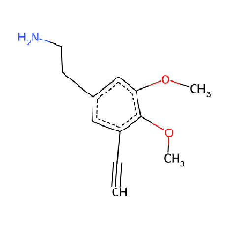 C#Cc1cc(CCN)cc(OC)c1OC